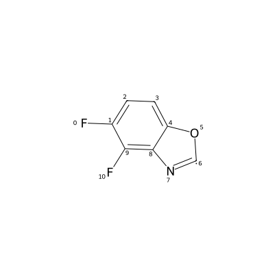 Fc1ccc2o[c]nc2c1F